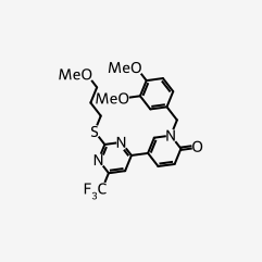 COCCCSc1nc(-c2ccc(=O)n(Cc3ccc(OC)c(OC)c3)c2)cc(C(F)(F)F)n1